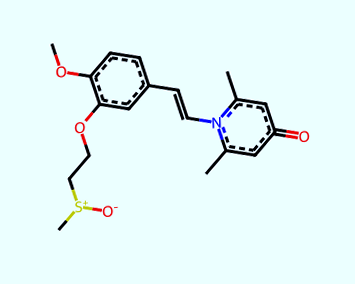 COc1ccc(/C=C/n2c(C)cc(=O)cc2C)cc1OCC[S+](C)[O-]